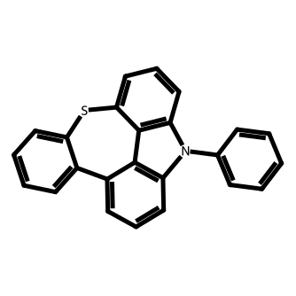 c1ccc(-n2c3cccc4sc5ccccc5c5cccc2c5c43)cc1